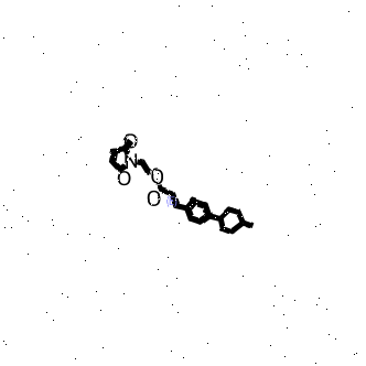 CC1CCC(c2ccc(/C=C/C(=O)OCCN3C(=O)C=CC3=O)cc2)CC1